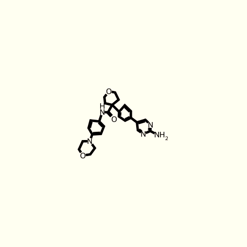 Nc1ncc(-c2ccc(C3(C(=O)Nc4ccc(N5CCOCC5)cc4)CCOCC3)cc2)cn1